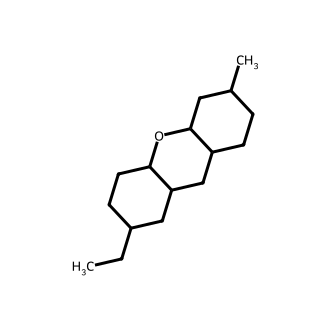 CCC1CCC2OC3CC(C)CCC3CC2C1